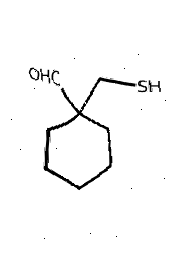 O=CC1(CS)CCCCC1